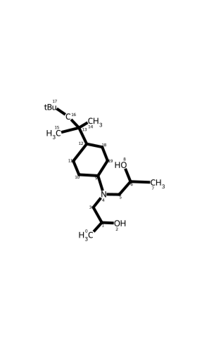 CC(O)CN(CC(C)O)C1CCC(C(C)(C)CC(C)(C)C)CC1